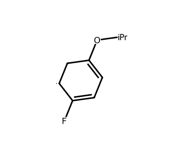 CC(C)OC1=CC=C(F)[CH]C1